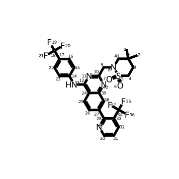 CC1(C)CCS(=O)(=O)N(Cc2nc(Nc3ccc(C(F)(F)F)cc3)c3ccc(-c4ncccc4C(F)(F)F)cc3n2)C1